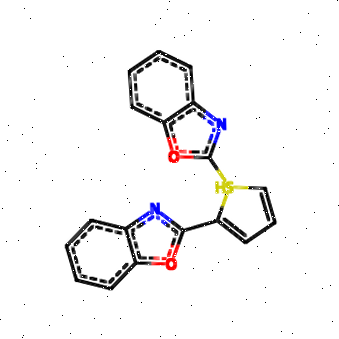 C1=C[SH](c2nc3ccccc3o2)C(c2nc3ccccc3o2)=C1